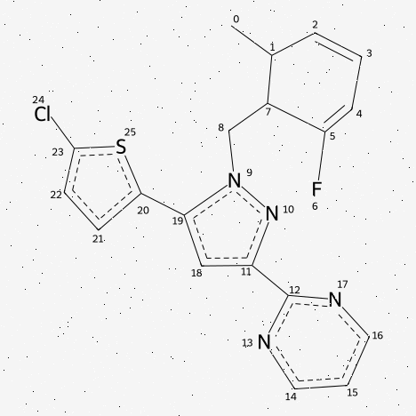 CC1C=CC=C(F)C1Cn1nc(-c2ncccn2)cc1-c1ccc(Cl)s1